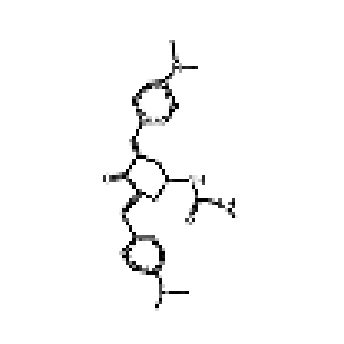 CNC(=O)NC1C/C(=C\c2ccc(N(C)C)cc2)C(=O)/C(=C/c2ccc(N(C)C)cc2)C1